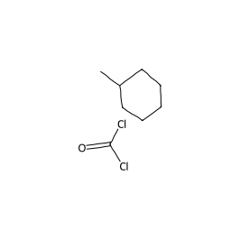 CC1CCCCC1.O=C(Cl)Cl